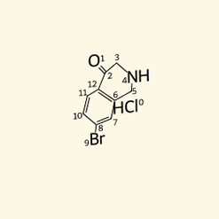 Cl.O=C1CNCc2cc(Br)ccc21